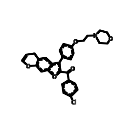 O=C(c1ccc(Cl)cc1)c1oc2cc3c(cc2c1-c1ccc(OCCN2CCOCC2)cc1)CC=CO3